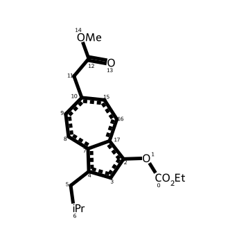 CCOC(=O)Oc1cc(CC(C)C)c2ccc(CC(=O)OC)ccc1-2